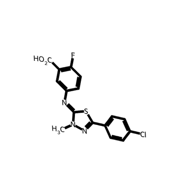 Cn1nc(-c2ccc(Cl)cc2)sc1=Nc1ccc(F)c(C(=O)O)c1